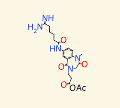 CC(=O)OC(=O)CCN1CC(=O)N(C)c2ccc(NC(=O)CCCCC(=N)N)cc2C1=O